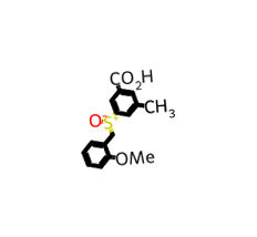 COc1ccccc1C[S+]([O-])c1cc(C)cc(C(=O)O)c1